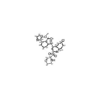 COC(=O)c1c(Nc2cc(S(=O)(=O)C3COCCN3)nc3ccc(Cl)cc23)cccc1-c1ncco1